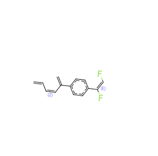 C=C/C=C\C(=C)c1ccc(/C(F)=C\F)cc1